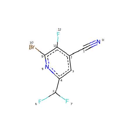 N#Cc1cc(C(F)F)nc(Br)c1F